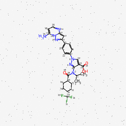 CC(C)N(c1nn(-c2ccc(-c3cc4nccc(N)n4n3)cc2)cc1C(=O)O)C(=O)[C@H]1CC[C@H](C(F)(F)F)CC1